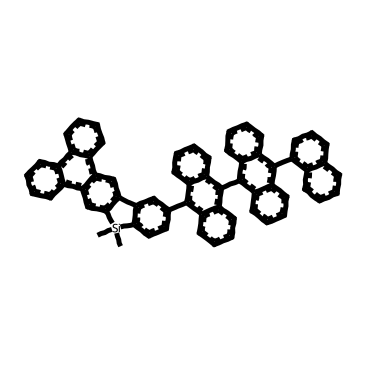 C[Si]1(C)c2ccc(-c3c4ccccc4c(-c4c5ccccc5c(-c5cccc6ccccc56)c5ccccc45)c4ccccc34)cc2-c2cc3c4ccccc4c4ccccc4c3cc21